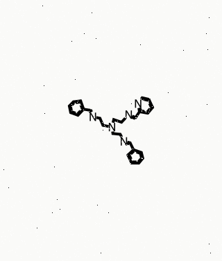 C(=NCCN(CCN=Cc1ccccc1)CCN=Cc1ccccn1)c1ccccc1